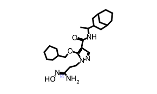 CC(NC(=O)c1cnn(CC/C(N)=N/O)c1OCC1CCCCC1)C1CC2CCCC(C2)C1